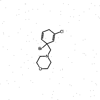 ClC1=CC(Br)(CN2CCOCC2)C=CC1